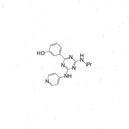 CC(C)Nc1nc(Nc2ccncc2)nc(-c2cccc(O)c2)n1